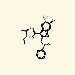 CCOC(=O)Cl.O=C(O)c1c(C[S+]([O-])c2ccccc2)[nH]c2cc(Br)c(O)cc12